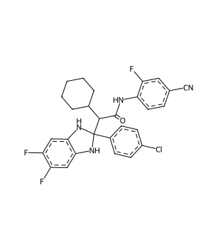 N#Cc1ccc(NC(=O)C(C2CCCCC2)C2(c3ccc(Cl)cc3)Nc3cc(F)c(F)cc3N2)c(F)c1